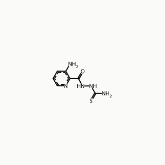 NC(=S)NNC(=O)c1ncccc1N